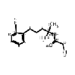 CC(C)(CCCc1ccccc1F)NC(=O)CCl